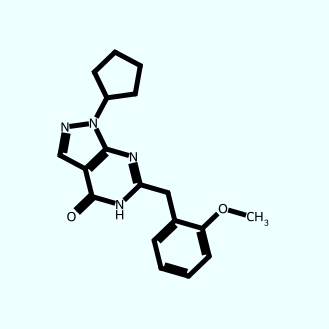 COc1ccccc1Cc1nc2c(cnn2C2CCCC2)c(=O)[nH]1